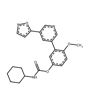 COc1ccc(OC(=O)NC2CCCCC2)cc1-c1cncc(-c2ccno2)c1